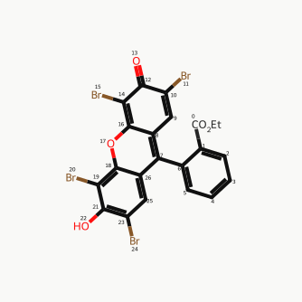 CCOC(=O)c1ccccc1-c1c2cc(Br)c(=O)c(Br)c-2oc2c(Br)c(O)c(Br)cc12